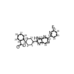 O=C1OC2(CCC(c3nc4cnc(-c5cccc(F)n5)nc4[nH]3)CC2)c2ccccc21